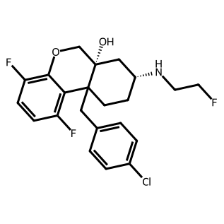 O[C@@]12COc3c(F)ccc(F)c3C1(Cc1ccc(Cl)cc1)CC[C@@H](NCCF)C2